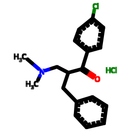 CN(C)CC(Cc1ccccc1)C(=O)c1ccc(Cl)cc1.Cl